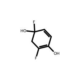 OC1=C(F)CC(O)(F)C=C1